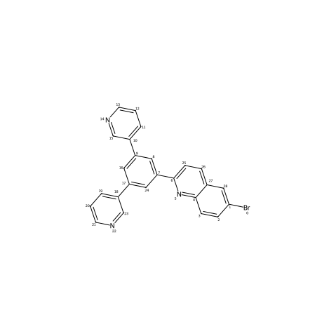 Brc1ccc2nc(-c3cc(-c4cccnc4)cc(-c4cccnc4)c3)ccc2c1